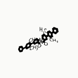 Cc1cc(-c2ccccc2)cc(C)c1-c1ccc2c(c1)c(=O)n1c(=O)c3cc(-c4c(C)cc(-c5ccccc5)cc4C)ccc3n21